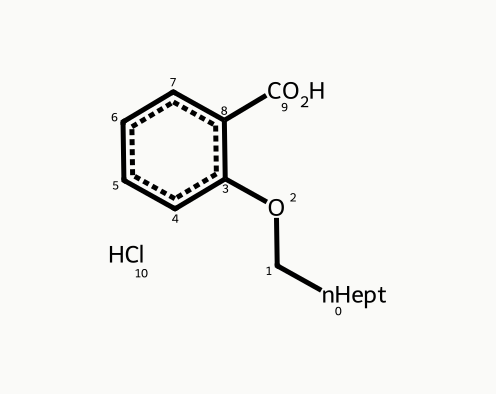 CCCCCCCCOc1ccccc1C(=O)O.Cl